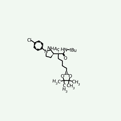 CC(=O)N[C@@](CCCCB1OC(C)(C)C(C)(C)O1)(C(=O)NC(C)(C)C)[C@H]1CCN(c2ccc(Cl)cc2)C1